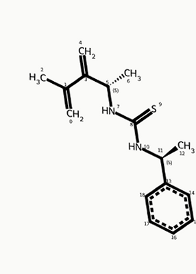 C=C(C)C(=C)[C@H](C)NC(=S)N[C@@H](C)c1ccccc1